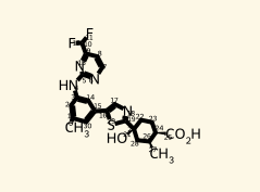 Cc1cc(Nc2nccc(C(F)F)n2)cc(-c2cnc([C@]3(O)CC[C@@H](C(=O)O)[C@@H](C)C3)s2)c1